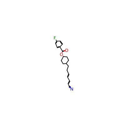 N#CC=CC=CCCC1CCC(OC(=O)c2ccc(F)cc2)CC1